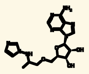 CC(COC[C@H]1O[C@@H](n2cnc3c(N)ncnc32)[C@H](O)[C@@H]1O)Nn1ccnc1